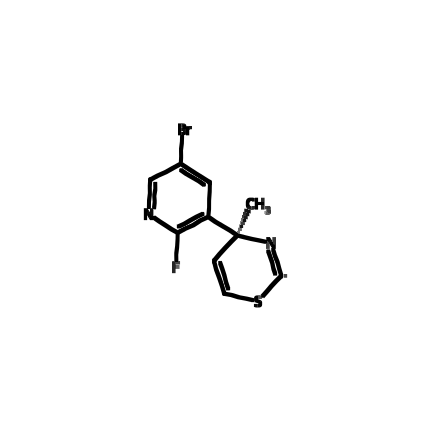 C[C@@]1(c2cc(Br)cnc2F)C=CS[C]=N1